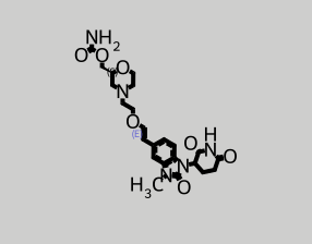 Cn1c(=O)n(C2CCC(=O)NC2=O)c2ccc(/C=C/OCCN3CCO[C@H](COC(N)=O)C3)cc21